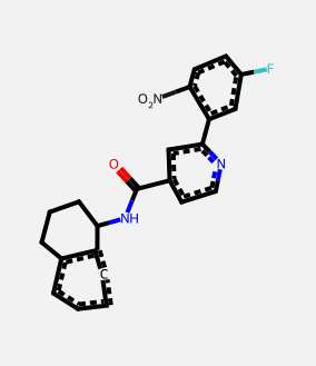 O=C(NC1CCCc2ccccc21)c1ccnc(-c2cc(F)ccc2[N+](=O)[O-])c1